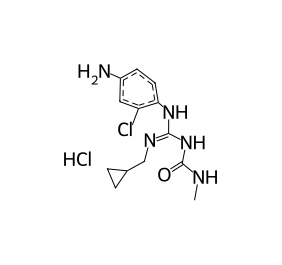 CNC(=O)NC(=NCC1CC1)Nc1ccc(N)cc1Cl.Cl